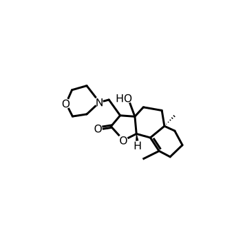 CC1=C2[C@@H]3OC(=O)C(CN4CCOCC4)C3(O)CC[C@@]2(C)CCC1